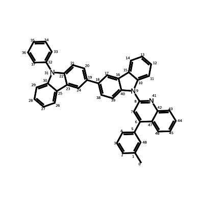 Cc1cccc(-c2cc(-n3c4ccccc4c4cc(-c5ccc6c(c5)c5ccccc5n6-c5ccccc5)ccc43)nc3ccccc23)c1